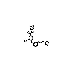 CC1CN(C(=O)Nc2cnoc2)CCC1=Cc1cccc(OCCc2ccsc2)c1